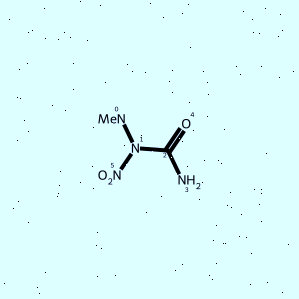 CNN(C(N)=O)[N+](=O)[O-]